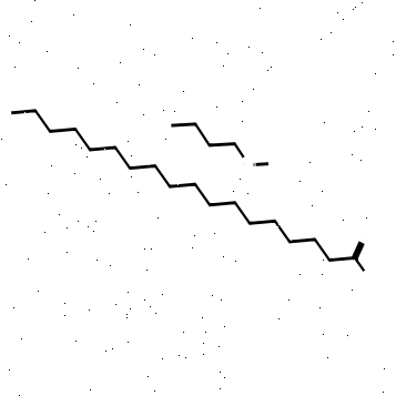 CCCCCCCCCCCCCCCCCC(=O)O.CCCC[O][Zr]